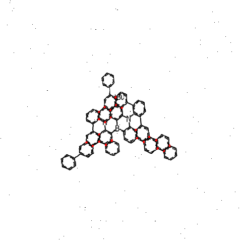 CC(C)(C)c1cc2c3c(c1)N(c1c(-c4cccc(-c5ccccc5)c4)cccc1-c1cccc(-c4ccccc4)c1)c1cc(-c4ccc(-c5ccccc5)cc4)ccc1B3c1ccc(-c3ccc(-c4ccccc4)cc3)cc1N2c1c(-c2cccc(-c3ccccc3)c2)cccc1-c1cccc(-c2ccccc2)c1